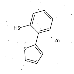 Sc1ccccc1-c1cccs1.[Zn]